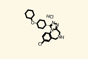 Cl.Clc1ccc2c(c1)CNCc1nnc([C@H]3CC[C@@H](OC4CCCCC4)CC3)n1-2